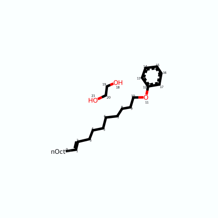 CCCCCCCCC=CCCCCCCCCOc1ccccc1.OCCO